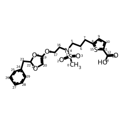 CS(=O)(=O)N(CCCc1ccc(C(=O)O)s1)CCOC1=COC(Cc2ccccc2)O1